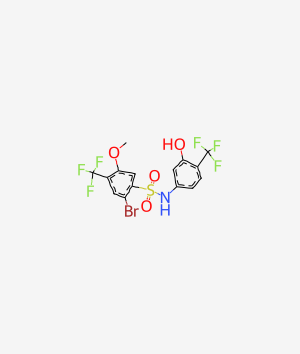 COc1cc(S(=O)(=O)Nc2ccc(C(F)(F)F)c(O)c2)c(Br)cc1C(F)(F)F